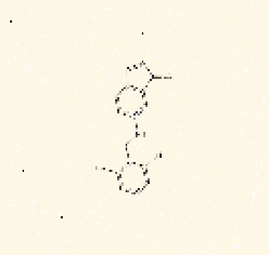 O=C1N=Cc2ccc(NCc3c(Cl)cccc3Cl)cc21